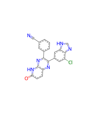 N#Cc1cccc(-c2nc3[nH]c(=O)ccc3nc2-c2cc(Cl)c3nc[nH]c3c2)c1